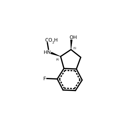 O=C(O)N[C@@H]1c2c(F)cccc2C[C@@H]1O